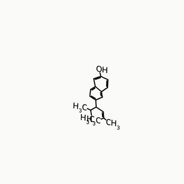 CC(C)=CC(c1ccc2cc(O)ccc2c1)C(C)C